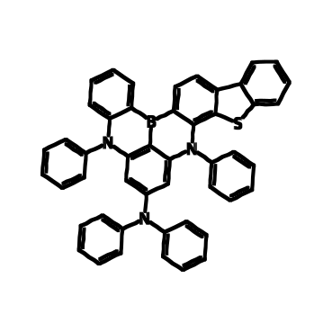 c1ccc(N(c2ccccc2)c2cc3c4c(c2)N(c2ccccc2)c2c(ccc5c2sc2ccccc25)B4c2ccccc2N3c2ccccc2)cc1